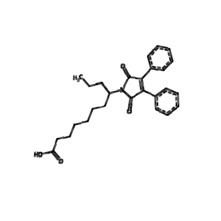 CCCC(CCCCCCC(=O)O)N1C(=O)C(c2ccccc2)=C(c2ccccc2)C1=O